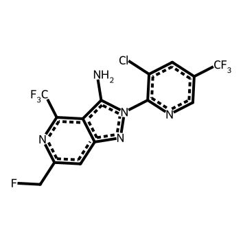 Nc1c2c(C(F)(F)F)nc(CF)cc2nn1-c1ncc(C(F)(F)F)cc1Cl